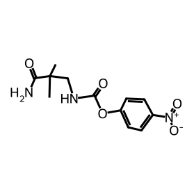 CC(C)(CNC(=O)Oc1ccc([N+](=O)[O-])cc1)C(N)=O